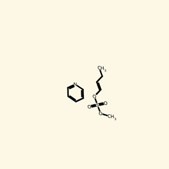 CCC=COS(=O)(=O)OC.c1ccncc1